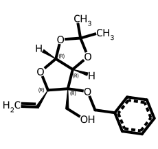 C=C[C@H]1O[C@@H]2OC(C)(C)O[C@@H]2[C@]1(CO)OCc1ccccc1